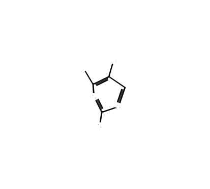 Bc1cnc(N)nc1C